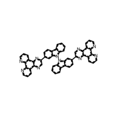 c1cnc2c(c1)c1ncc(-c3ccc4c5ccccc5n(-n5c6ccccc6c6ccc(-c7cnc8c9cccnc9c9ncccc9c8n7)cc65)c4c3)nc1c1cccnc12